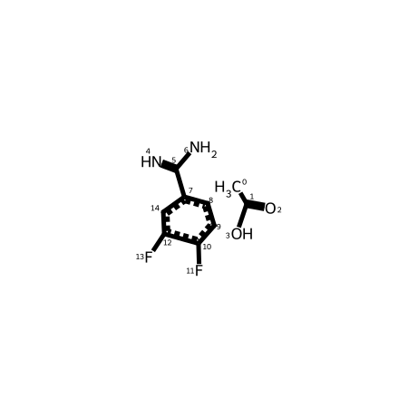 CC(=O)O.N=C(N)c1ccc(F)c(F)c1